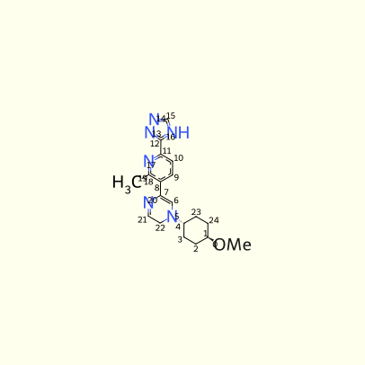 CO[C@H]1CC[C@H](N2C=C(c3ccc(-c4nnc[nH]4)nc3C)N=CC2)CC1